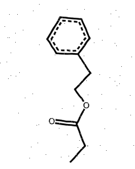 C[CH]C(=O)OCCc1ccccc1